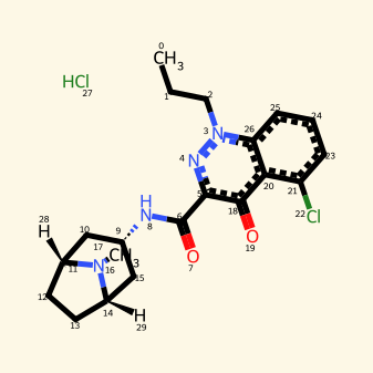 CCCn1nc(C(=O)N[C@H]2C[C@H]3CC[C@@H](C2)N3C)c(=O)c2c(Cl)cccc21.Cl